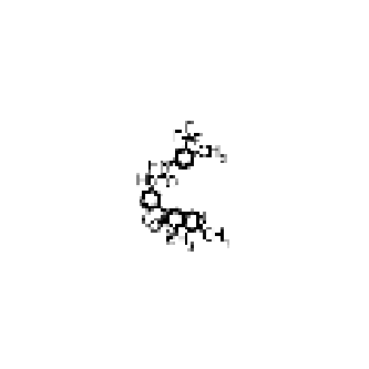 Cc1cc2c(cn1)cc(-c1cc(NC(=O)Nc3ccc(C)c(C(F)(F)F)c3)ccc1C)c(=O)n2C